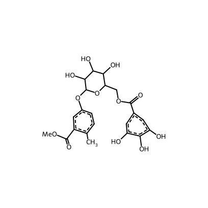 COC(=O)c1cc(OC2OC(COC(=O)c3cc(O)c(O)c(O)c3)C(O)C(O)C2O)ccc1C